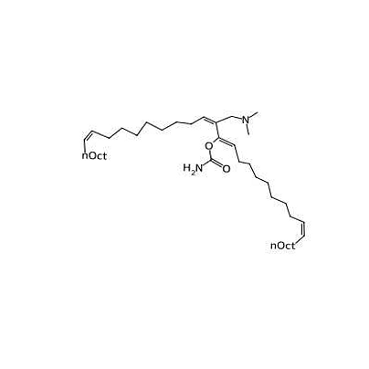 CCCCCCCC/C=C\CCCCCCCC=C(CN(C)C)C(=CCCCCCCC/C=C\CCCCCCCC)OC(N)=O